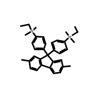 CC[N+](C)(C)c1ccc(C2(c3ccc([N+](C)(C)CC)cc3)c3cc(C)ccc3-c3ccc(C)cc32)cc1